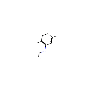 CNCNC1=C(C)CCC(C)=C1